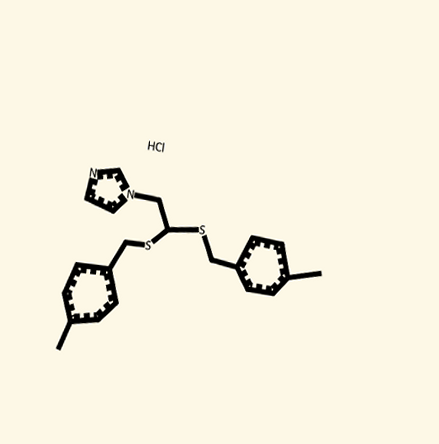 Cc1ccc(CSC(Cn2ccnc2)SCc2ccc(C)cc2)cc1.Cl